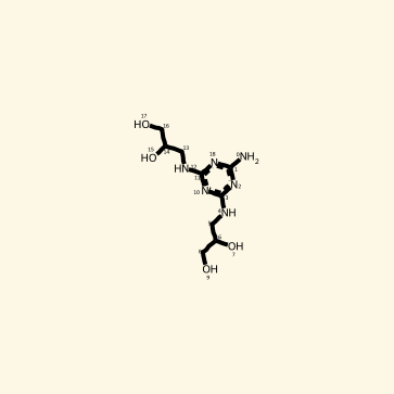 Nc1nc(NCC(O)CO)nc(NCC(O)CO)n1